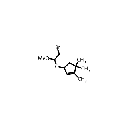 COC(CBr)OC1C=C(C)C(C)(C)C1